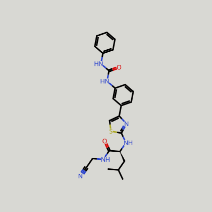 CC(C)C[C@H](Nc1nc(-c2cccc(NC(=O)Nc3ccccc3)c2)cs1)C(=O)NCC#N